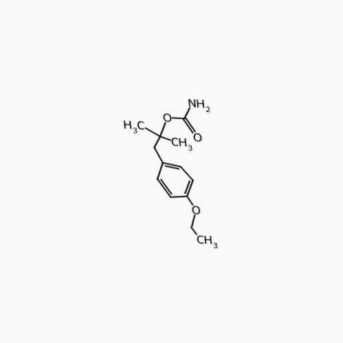 CCOc1ccc(CC(C)(C)OC(N)=O)cc1